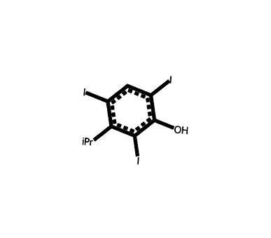 CC(C)c1c(I)cc(I)c(O)c1I